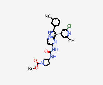 Cc1cc(-c2c(-c3cccc(C#N)c3)nn3ccc(NC(=O)NC4CCN(C(=O)OC(C)(C)C)C4)nc23)cc(Cl)n1